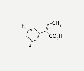 CC=C(C(=O)O)c1cc(F)cc(F)c1